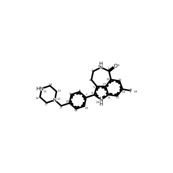 O=C1NCCc2c(-c3ccc(CN4CCNCC4)cc3)[nH]c3cc(F)cc1c23